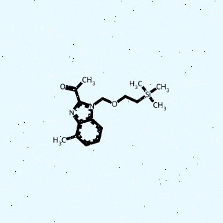 CC(=O)c1nc2c(C)cccc2n1COCC[Si](C)(C)C